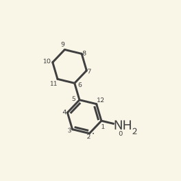 Nc1[c]ccc(C2CCCCC2)c1